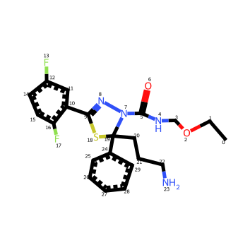 CCOCNC(=O)N1N=C(c2cc(F)ccc2F)SC1(CCCN)c1ccccc1